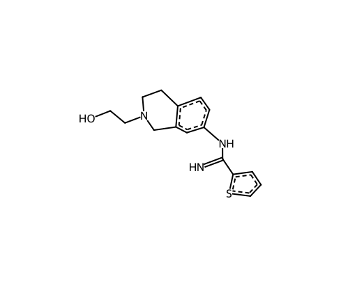 N=C(Nc1ccc2c(c1)CN(CCO)CC2)c1cccs1